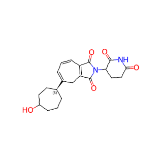 O=C1CCC(N2C(=O)C3=C(CC([C@H]4CCCC(O)CC4)=CC=C3)C2=O)C(=O)N1